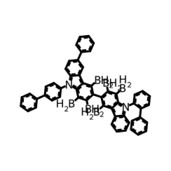 Bc1c(-c2c(B)c(B)c3c(c2B)c2ccccc2n3-c2ccccc2-c2ccccc2)c(B)c2c3cc(-c4ccccc4)ccc3n(-c3ccc(-c4ccccc4)cc3)c2c1B